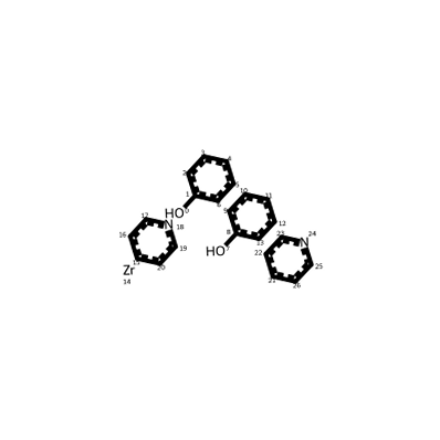 Oc1ccccc1.Oc1ccccc1.[Zr].c1ccncc1.c1ccncc1